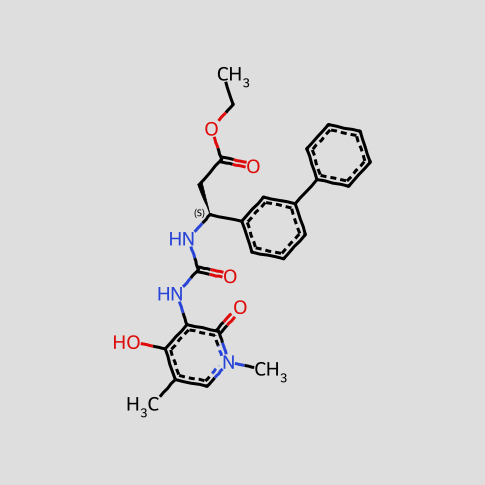 CCOC(=O)C[C@H](NC(=O)Nc1c(O)c(C)cn(C)c1=O)c1cccc(-c2ccccc2)c1